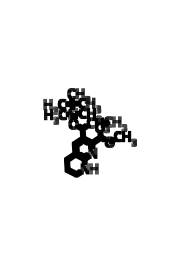 COC(OC)c1nc2c(cc1C(C)O[Si](C)(C)C(C)(C)C)CCCN2